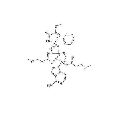 COCCC(=O)O[C@@H]1[C@@](C)(CO[P@@](=O)(N[C@@H](C)C(=O)OC)Oc2ccccc2)OC[C@]1(OC(=O)CCOC)c1ccc2c(N)ncnn12